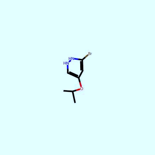 CC(C)OC1=CNNC(Br)=C1